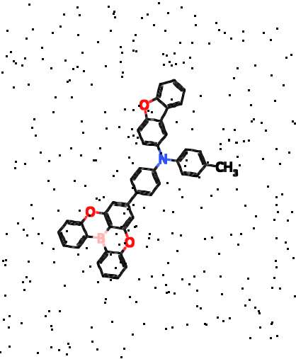 Cc1ccc(N(c2ccc(-c3cc4c5c(c3)Oc3ccccc3B5c3ccccc3O4)cc2)c2ccc3oc4ccccc4c3c2)cc1